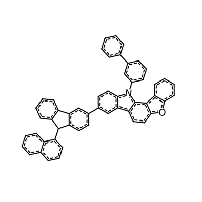 c1ccc(-c2cccc(-n3c4ccc(-c5ccc6c(c5)-c5ccccc5C6c5cccc6ccccc56)cc4c4ccc5oc6ccccc6c5c43)c2)cc1